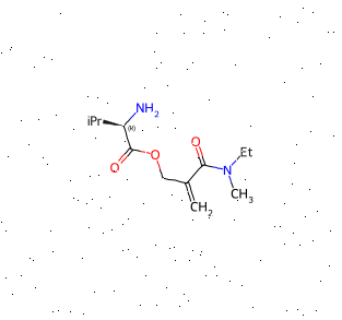 C=C(COC(=O)[C@H](N)C(C)C)C(=O)N(C)CC